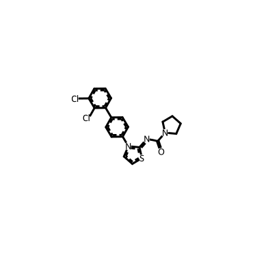 O=C(N=c1sccn1-c1ccc(-c2cccc(Cl)c2Cl)cc1)N1CCCC1